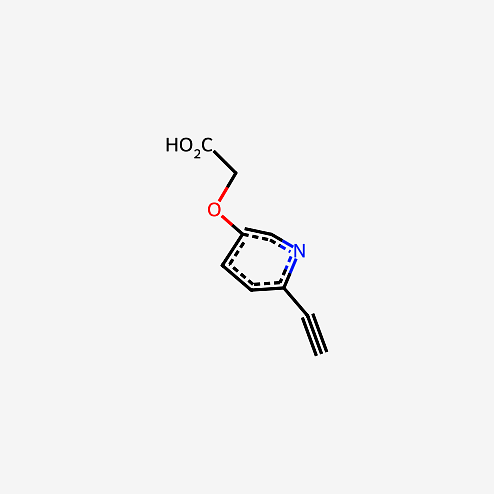 C#Cc1ccc(OCC(=O)O)cn1